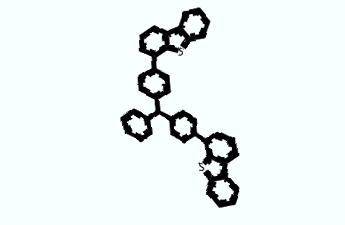 c1ccc(C(c2ccc(-c3cccc4c3sc3ccccc34)cc2)c2ccc(-c3cccc4c3sc3ccccc34)cc2)cc1